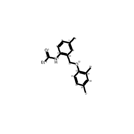 CCC(=O)Nc1ccc(C)cc1COc1ccc(C)cc1C